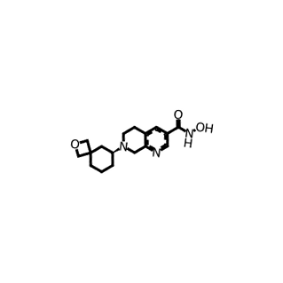 O=C(NO)c1cnc2c(c1)CCN([C@H]1CCCC3(COC3)C1)C2